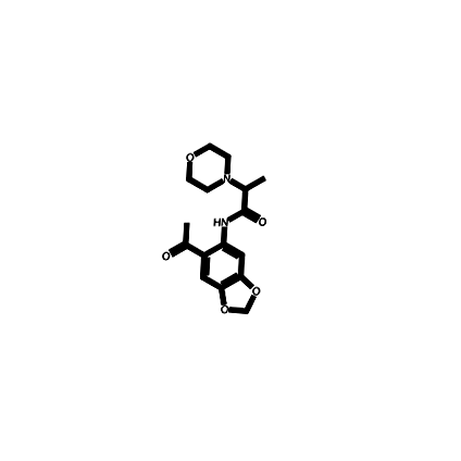 CC(=O)c1cc2c(cc1NC(=O)C(C)N1CCOCC1)OCO2